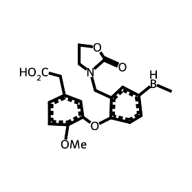 CBc1ccc(Oc2cc(CC(=O)O)ccc2OC)c(CN2CCOC2=O)c1